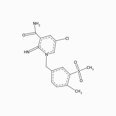 Cc1ccc(Cn2cc(Cl)cc(C(N)=O)c2=N)cc1S(C)(=O)=O